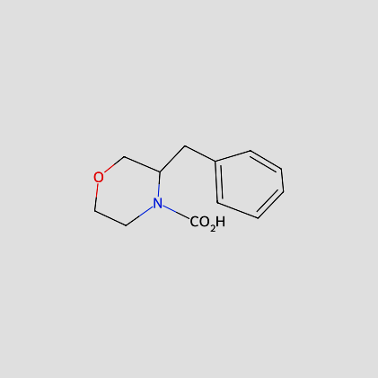 O=C(O)N1CCOCC1Cc1ccccc1